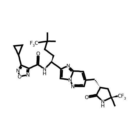 CC(C)(CC[C@H](NC(=O)c1nonc1C1CC1)c1cn2ncc(C[C@@H]3C[C@@](C)(C(F)(F)F)NC3=O)cc2n1)C(F)(F)F